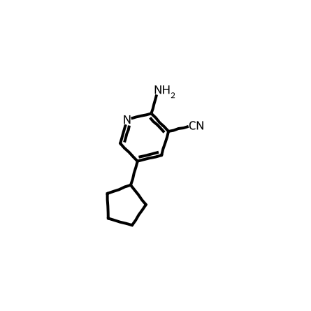 N#Cc1cc(C2CCCC2)cnc1N